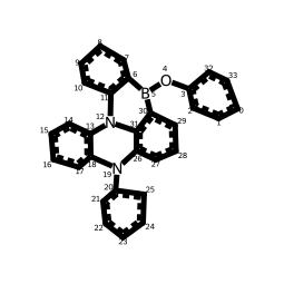 c1ccc(OB2c3ccccc3N3c4ccccc4N(c4ccccc4)c4cccc2c43)cc1